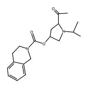 CC(=O)C1CC(OC(=O)N2CCc3ccccc3C2)CN1C(C)C